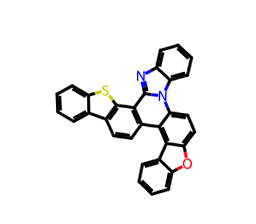 c1ccc2c(c1)nc1c3c(ccc4c5ccccc5sc43)c3c4c(ccc3n21)oc1ccccc14